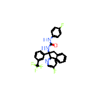 O=C(Nc1ccc(F)cc1)NC(Cc1ccccc1)(c1cccc(C(F)(F)F)c1)c1ccc(F)cn1